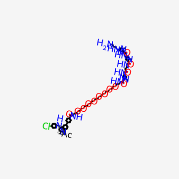 CC(=O)N1c2ccc(-c3ccc(C(=O)NCCOCCOCCOCCOCCOCCOCCOCCOCCNC(=O)c4nc(NC(=O)CCNC(=O)c5cc(NC(=O)c6nc(NCCCN)cn6C)cn5C)cn4C)cc3)cc2[C@H](Nc2ccc(Cl)cc2)C[C@@H]1C